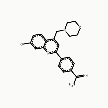 N=C(N)c1ccc(-c2cc(CN3CCOCC3)c3ccc(Cl)cc3n2)cc1